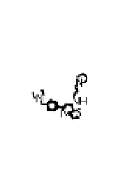 CCN(CC)Cc1ccc(-c2cc(NCCCN3CCCC3)c3sccc3n2)cc1